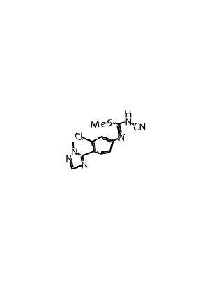 CS/C(=N\c1ccc(-c2ncnn2C)c(Cl)c1)NC#N